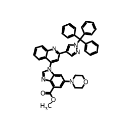 COC(=O)c1cc(N2CCOCC2)cc2c1ncn2-c1cc(-c2cnn(C(c3ccccc3)(c3ccccc3)c3ccccc3)c2)nc2ccccc12